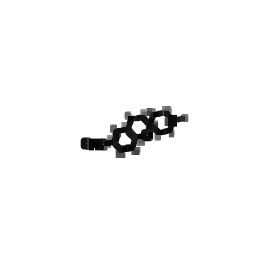 CN1CCC2(CCc3cc(C=O)ccc3O2)CC1